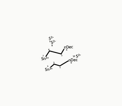 CCCCCCCCCCC[CH2][Sn+3].CCCCCCCCCCC[CH2][Sn+3].[S-2].[S-2].[S-2]